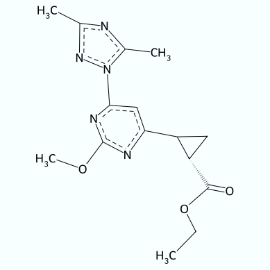 CCOC(=O)[C@H]1CC1c1cc(-n2nc(C)nc2C)nc(OC)n1